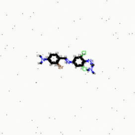 CN(C)/C=N\c1c(Cl)cc(/N=C/c2ccc(N(C)C)cc2Br)cc1Cl